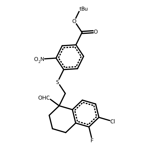 CC(C)(C)OC(=O)c1ccc(SCC2(C=O)CCCc3c2ccc(Cl)c3F)c([N+](=O)[O-])c1